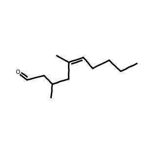 CCCCC=C(C)CC(C)CC=O